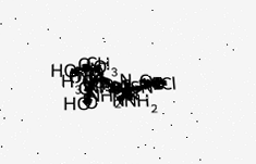 C[C@H](NC(=O)[C@@H](N)CC(=O)O)C(=O)OC[C@H](COc1ccc(-c2c(C#N)c(N)nc(SCc3coc(-c4ccc(Cl)cc4)n3)c2C#N)cc1)OC(=O)[C@H](C)NC(=O)[C@@H](N)CC(=O)O